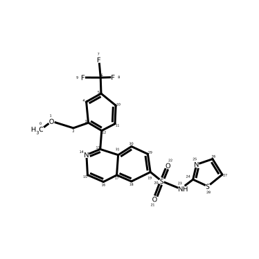 COCc1cc(C(F)(F)F)ccc1-c1nccc2cc(S(=O)(=O)Nc3nccs3)ccc12